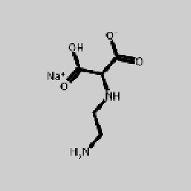 NCCNC(C(=O)[O-])C(=O)O.[Na+]